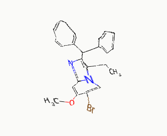 CCc1c(C(c2ccccc2)c2ccccc2)nc2cc(OC)c(Br)cn12